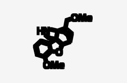 COCC1CC2CCC13CNCCC31c3cccc(OC)c3OC21